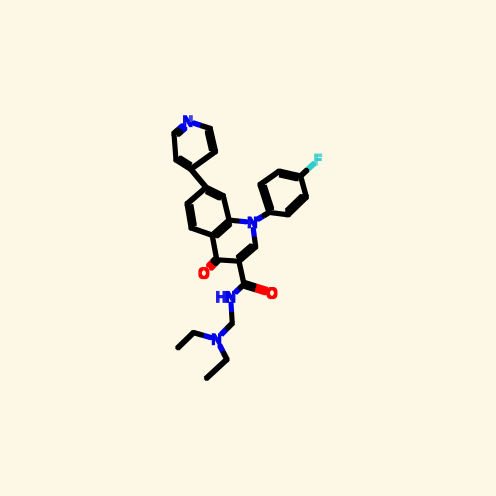 CCN(CC)CNC(=O)c1cn(-c2ccc(F)cc2)c2cc(-c3ccncc3)ccc2c1=O